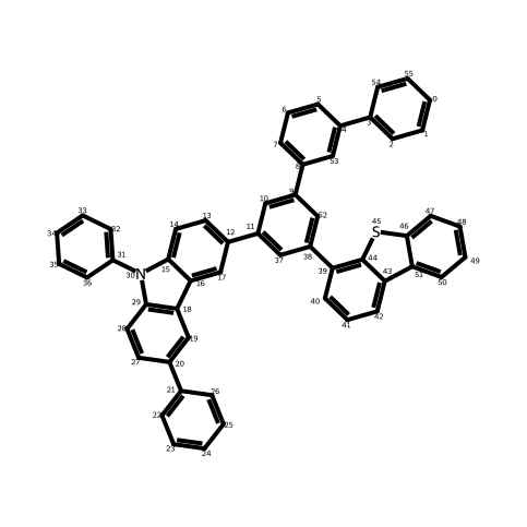 c1ccc(-c2cccc(-c3cc(-c4ccc5c(c4)c4cc(-c6ccccc6)ccc4n5-c4ccccc4)cc(-c4cccc5c4sc4ccccc45)c3)c2)cc1